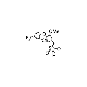 COc1cc(/C=C2\SC(=O)NC2=O)ccc1Oc1ccc(C(F)(F)F)cc1C#N